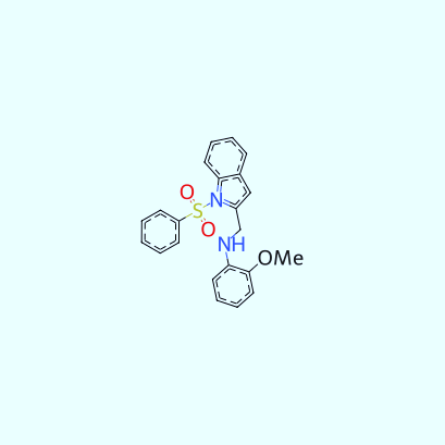 COc1ccccc1NCc1cc2ccccc2n1S(=O)(=O)c1ccccc1